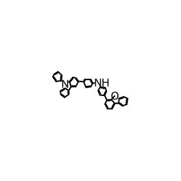 c1ccc(-n2c3ccccc3c3cc(-c4ccc(Nc5ccc(-c6cccc7c6oc6ccccc67)cc5)cc4)ccc32)cc1